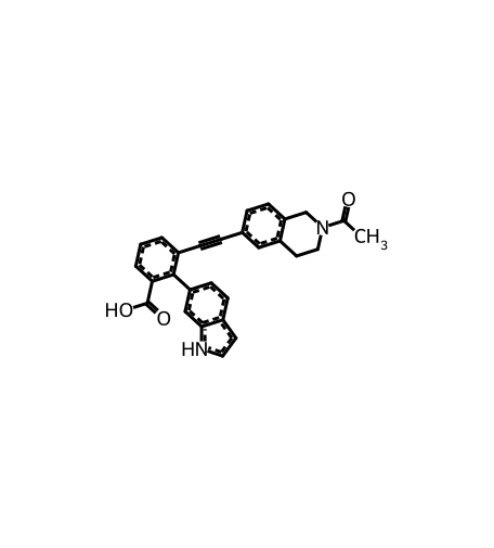 CC(=O)N1CCc2cc(C#Cc3cccc(C(=O)O)c3-c3ccc4cc[nH]c4c3)ccc2C1